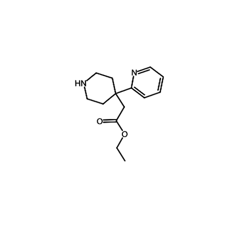 CCOC(=O)CC1(c2ccccn2)CCNCC1